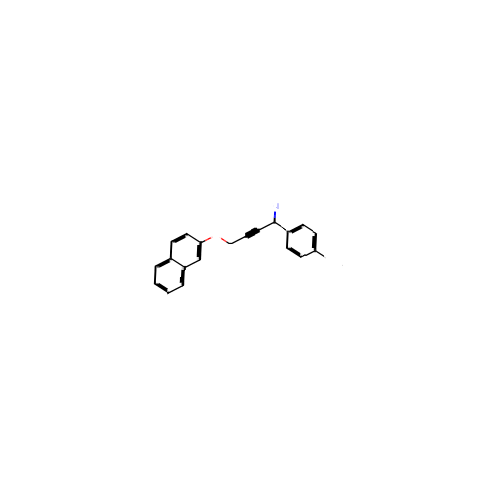 Cc1ccc(C(N)C#CCOc2ccc3ccccc3c2)cc1